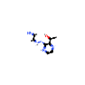 CC(=O)c1nccnc1N/N=C\C=N